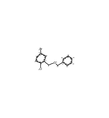 Clc1ccc(Br)cc1COCc1ccccc1